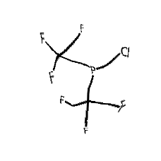 FC(F)(F)P(Cl)C(F)(F)F